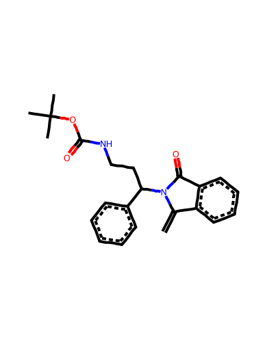 C=C1c2ccccc2C(=O)N1C(CCNC(=O)OC(C)(C)C)c1ccccc1